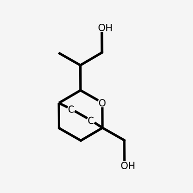 CC(CO)C1OC2(CO)CCC1CC2